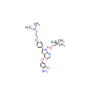 CCN(CC)CCCOc1ccc(-c2cc3c(Oc4ccc(N)c(Cl)c4)ncnc3n2COCC[Si](C)(C)C)cc1